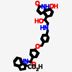 O=C(NC1(C(=O)O)CCc2ccccc21)c1ccc(OCc2ccc(CNCC(O)c3ccc(O)c4[nH]c(=O)ccc34)cc2)cc1